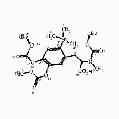 CN(C(=O)OC(C)(C)C)C(Cc1cc(OC(=O)OC(C)(C)C)c(OC(=O)OC(C)(C)C)c[c]1[Sn]([CH3])([CH3])[CH3])C(=O)O